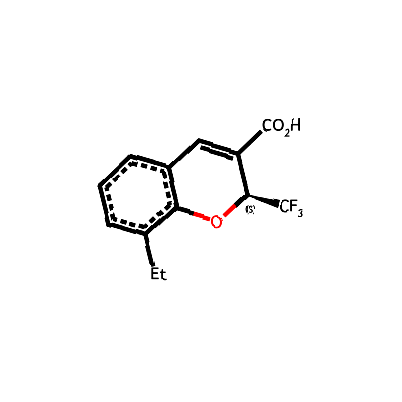 CCc1cccc2c1O[C@H](C(F)(F)F)C(C(=O)O)=C2